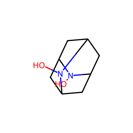 ON1C2CC3CC1CC(C2)N3O